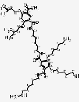 CNCCCCCCNC(=O)c1cc(C(=O)NCCCCCCNC(=O)c2cc(C(C)=O)c(OCCC(C)C)cc2OCCC(C)C)c(OCCCCCN)cc1OCCCCCN